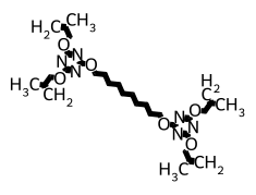 C=C(C)COc1nc(OCCCCCCCCCCOc2nc(OCC(=C)C)nc(OCC(=C)C)n2)nc(OCC(=C)C)n1